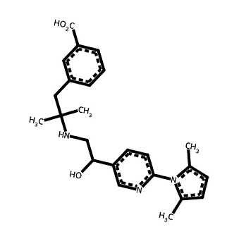 Cc1ccc(C)n1-c1ccc(C(O)CNC(C)(C)Cc2cccc(C(=O)O)c2)cn1